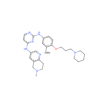 COc1cc(Nc2nccc(Nc3cnc4c(c3)CN(C)CC4)n2)ccc1OCCCN1CCCCC1